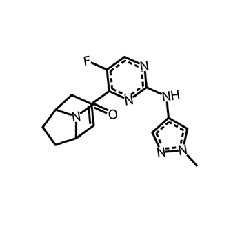 Cn1cc(Nc2ncc(F)c(C3=CC4CCC(C3)N4C=O)n2)cn1